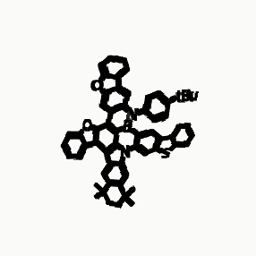 CC(C)(C)c1ccc(N2B3c4cc5c(cc4-n4c6cc7c(cc6c6c8c(oc9ccccc98)c(c3c64)-c3cc4oc6ccccc6c4cc32)C(C)(C)CCC7(C)C)sc2ccccc25)cc1